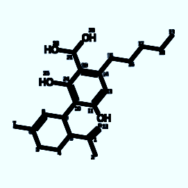 C=C(C)C1CCC(C)=CC1c1c(O)cc(CCCCC)c(C(O)O)c1O